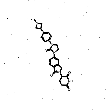 CN1CC(c2ccc(N3CCN(c4ccc5c(c4)CN(C4CCC(=O)NC4=O)C5=O)C3=O)cc2)C1